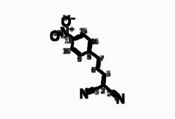 N#CC(C#N)=CC=Cc1ccc([N+](=O)[O-])cc1